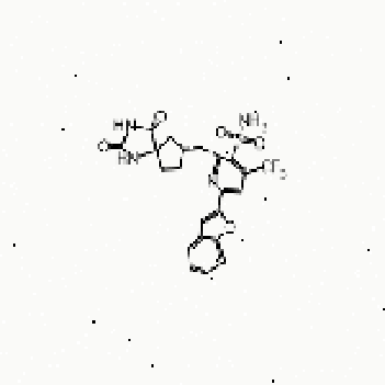 NS(=O)(=O)c1c(C(F)(F)F)cc(-c2cc3ccccc3o2)nc1CC1CCC2(C1)NC(=O)NC2=O